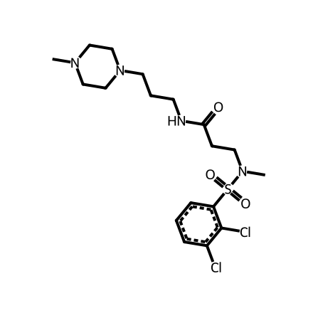 CN1CCN(CCCNC(=O)CCN(C)S(=O)(=O)c2cccc(Cl)c2Cl)CC1